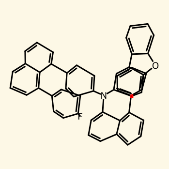 Fc1ccc(-c2cccc3cccc(-c4ccc(N(c5ccc6oc7ccccc7c6c5)c5cccc6cccc(-c7ccccc7)c56)cc4)c23)cc1